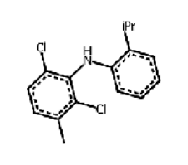 Cc1ccc(Cl)c(Nc2ccccc2C(C)C)c1Cl